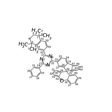 CC1(C)CCC(C)(C)c2cc(-c3nc(-c4ccccc4)nc(-c4ccc5c(c4)C4(c6ccccc6Oc6ccccc64)c4ccccc4-5)n3)ccc21